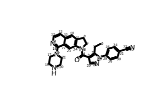 CCc1c(C(=O)N2CCc3cc4ccnc(N5CCNCC5)c4cc32)cnn1-c1ccc(C#N)cc1